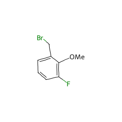 COc1c(F)cccc1CBr